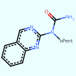 CCCCCN(C(N)=O)c1ncc2ccccc2n1